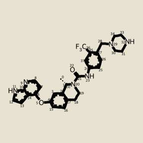 C[C@H]1c2cc(Oc3ccnc4[nH]ccc34)ccc2CCN1C(=O)Nc1ccc(CN2CCNCC2)c(C(F)(F)F)c1